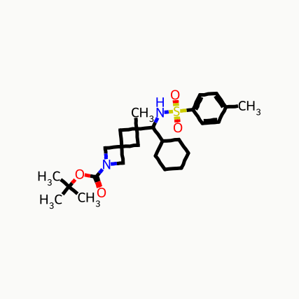 Cc1ccc(S(=O)(=O)NC(C2CCCCC2)C2(C)CC3(CN(C(=O)OC(C)(C)C)C3)C2)cc1